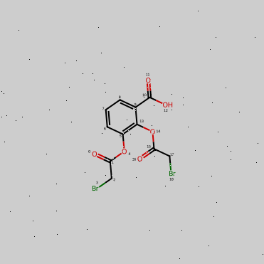 O=C(CBr)Oc1cccc(C(=O)O)c1OC(=O)CBr